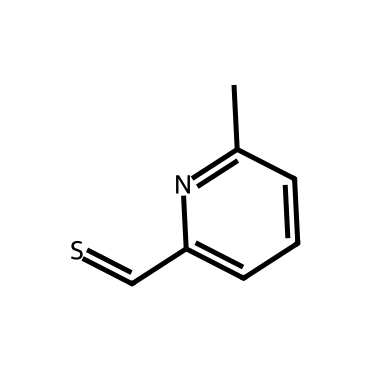 Cc1cccc(C=S)n1